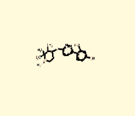 CC1C(Oc2ccc(-c3ccc(O)cc3O)nn2)CCN(C)C1(C)C